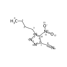 CCCCn1nnc(C#N)c1[N+](=O)[O-]